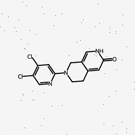 O=c1cc2c(c[nH]1)CN(c1cc(Cl)c(Cl)cn1)CC2